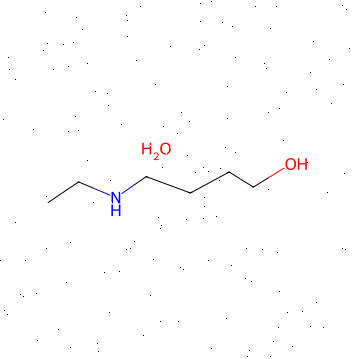 CCNCCCCO.O